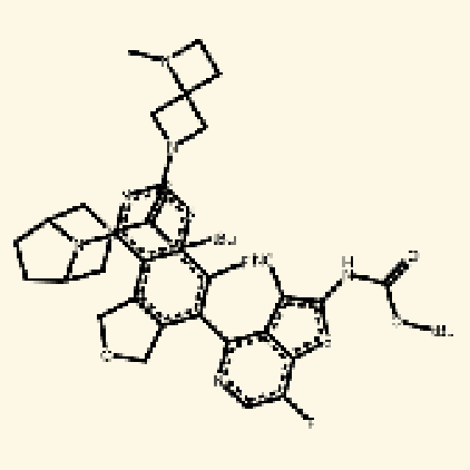 CN1CCC12CN(c1nc(N3C4CCC3CN(C(=O)OC(C)(C)C)C4)c3c4c(c(-c5ncc(F)c6sc(NC(=O)OC(C)(C)C)c(C#N)c56)c(F)c3n1)COC4)C2